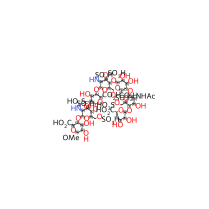 CO[C@@H]1O[C@@H](C(=O)O)[C@@H](O[C@H]2O[C@H](COS(=O)(=O)O)[C@@H](OC3O[C@@H](C(=O)O)[C@@H](O[C@H]4O[C@H](COS(=O)(=O)O)[C@@H](O[C@@H]5O[C@H](C(=O)O)[C@@H](O[C@H]6O[C@H](COS(=O)(=O)O)[C@@H](O[C@@H]7OC(C(=O)O)=C[C@H](O)[C@H]7O)[C@H](O)[C@H]6NC(C)=O)[C@H](O)[C@H]5O)[C@H](OS(=O)(=O)O)[C@H]4NS(=O)(=O)O)[C@H](O)[C@H]3OS(=O)(=O)O)[C@H](O)[C@H]2NS(=O)(=O)O)[C@H](O)[C@H]1O